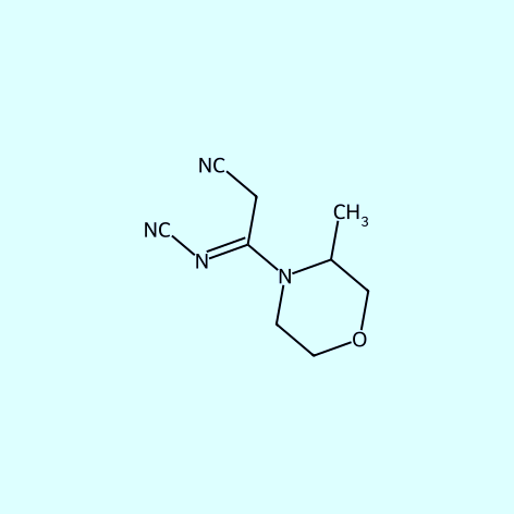 CC1COCCN1/C(CC#N)=N/C#N